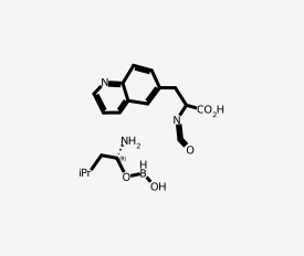 CC(C)C[C@H](N)OBO.O=C=NC(Cc1ccc2ncccc2c1)C(=O)O